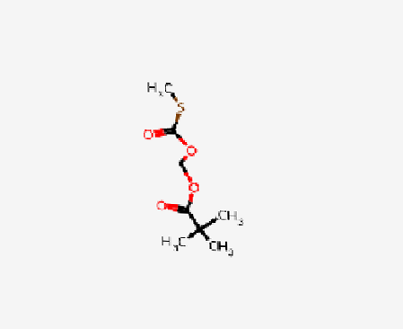 CSC(=O)OCOC(=O)C(C)(C)C